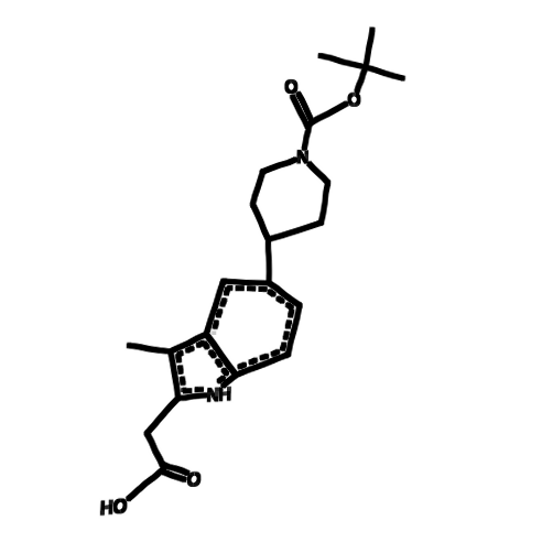 Cc1c(CC(=O)O)[nH]c2ccc(C3CCN(C(=O)OC(C)(C)C)CC3)cc12